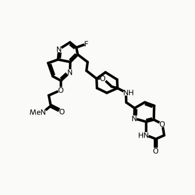 CNC(=O)COc1ccc2ncc(F)c(CCC34CCC(NCc5ccc6c(n5)NC(=O)CO6)(CC3)CO4)c2n1